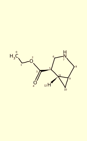 CCOC(=O)[C@H]1CNCC2C[C@@H]21